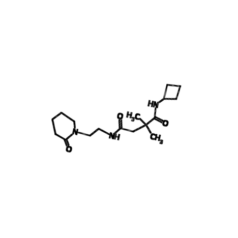 CC(C)(CC(=O)NCCN1CCCCC1=O)C(=O)NC1CCC1